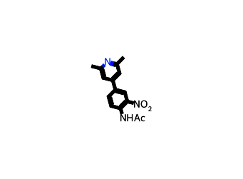 CC(=O)Nc1ccc(-c2cc(C)nc(C)c2)cc1[N+](=O)[O-]